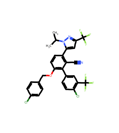 CC(C)n1nc(C(F)(F)F)cc1-c1ccc(OCc2ccc(Cl)cc2)c(-c2ccc(Cl)c(C(F)(F)F)c2)c1C#N